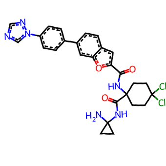 NC1(NC(=O)C2(NC(=O)c3cc4ccc(-c5ccc(-n6cncn6)cc5)cc4o3)CCC(Cl)(Cl)CC2)CC1